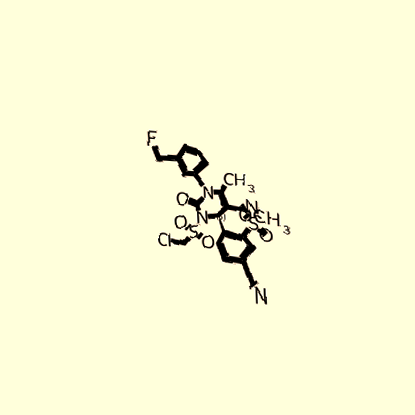 CC1=C(C#N)[C@@H](c2ccc(C#N)cc2S(C)(=O)=O)N(S(=O)(=O)CCl)C(=O)N1c1cccc(CF)c1